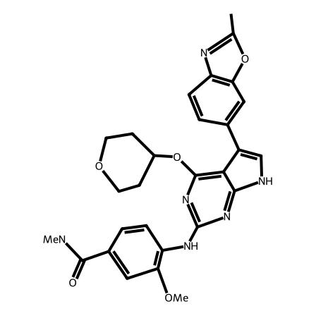 CNC(=O)c1ccc(Nc2nc(OC3CCOCC3)c3c(-c4ccc5nc(C)oc5c4)c[nH]c3n2)c(OC)c1